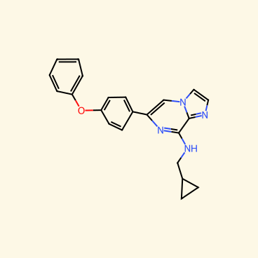 c1ccc(Oc2ccc(-c3cn4ccnc4c(NCC4CC4)n3)cc2)cc1